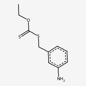 CCOC(=S)SCc1cccc(N)c1